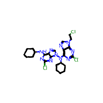 ClCCn1cnc2c(N(C3CCCCC3)n3cnc4c(NC5CCCCC5)nc(Cl)nc43)nc(Cl)nc21